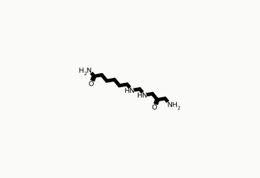 NCC(=O)CNCNCCCCCC(N)=O